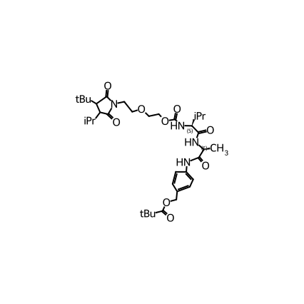 CC(C)C1C(=O)N(CCOCCOC(=O)N[C@H](C(=O)N[C@@H](C)C(=O)Nc2ccc(COC(=O)C(C)(C)C)cc2)C(C)C)C(=O)C1C(C)(C)C